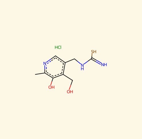 Cc1ncc(CNC(=N)S)c(CO)c1O.Cl